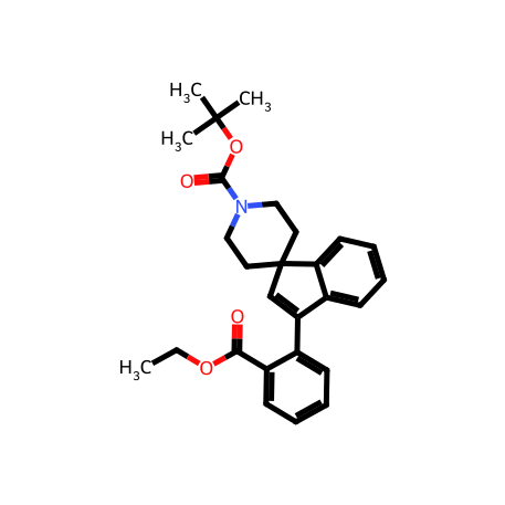 CCOC(=O)c1ccccc1C1=CC2(CCN(C(=O)OC(C)(C)C)CC2)c2ccccc21